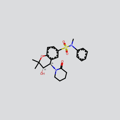 CN(c1ccccc1)S(=O)(=O)c1ccc2c(c1)[C@@H](N1CCCCC1=O)[C@H](O)C(C)(C)O2